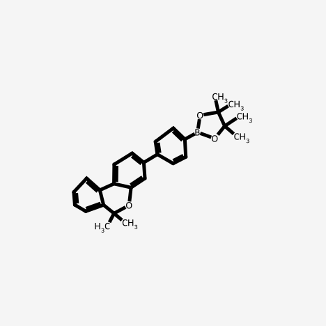 CC1(C)Oc2cc(-c3ccc(B4OC(C)(C)C(C)(C)O4)cc3)ccc2-c2ccccc21